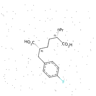 CCC[C@@H](CC[C@H](Cc1ccc(F)cc1)C(=O)O)C(=O)O